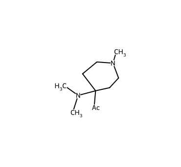 CC(=O)C1(N(C)C)CCN(C)CC1